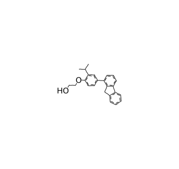 CC(C)c1cc(-c2cccc3c2Cc2ccccc2-3)ccc1OCCO